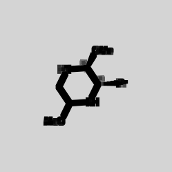 COC1CN[C@@H](OC)[C@H](C(C)C)N1